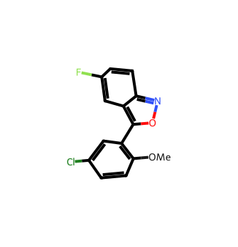 COc1ccc(Cl)cc1-c1onc2ccc(F)cc12